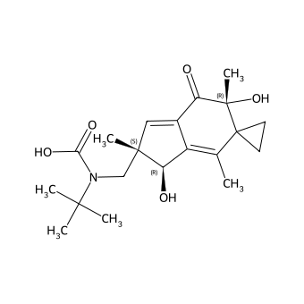 CC1=C2C(=C[C@@](C)(CN(C(=O)O)C(C)(C)C)[C@@H]2O)C(=O)[C@](C)(O)C12CC2